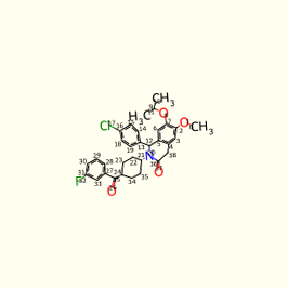 COc1cc2c(cc1OC(C)C)C(c1ccc(Cl)cc1)N([C@H]1CC[C@H](C(=O)c3cccc(F)c3)CC1)C(=O)C2